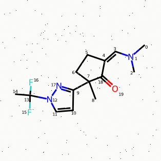 CN(C)C=C1CCC(C)(c2ccn(C(C)(F)F)n2)C1=O